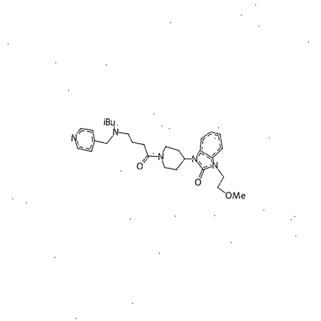 CCC(C)N(CCCC(=O)N1CCC(n2c(=O)n(CCOC)c3ccccc32)CC1)Cc1ccncc1